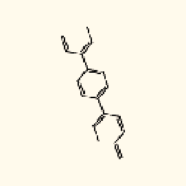 C=C/C=C\C(=C/C)c1ccc(/C(C=C)=C/C)cc1